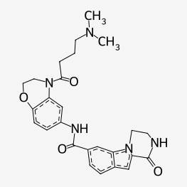 CN(C)CCCC(=O)N1CCOc2ccc(NC(=O)c3ccc4cc5n(c4c3)CCNC5=O)cc21